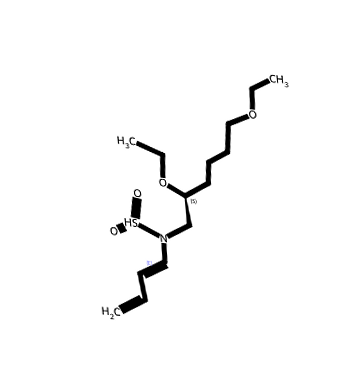 C=C/C=C/N(C[C@H](CCCCOCC)OCC)[SH](=O)=O